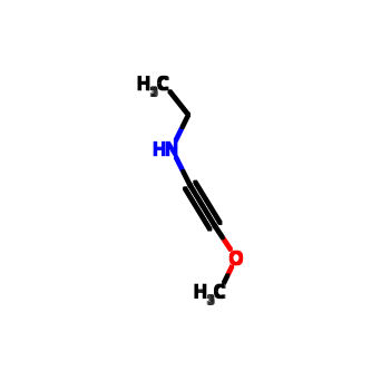 CCNC#COC